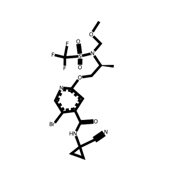 COCN([C@@H](C)COc1cc(C(=O)NC2(C#N)CC2)c(Br)cn1)S(=O)(=O)C(F)(F)F